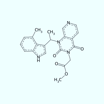 COC(=O)Cn1c(=O)c2ccncc2n(C(C)c2c[nH]c3cccc(C)c23)c1=O